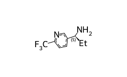 CC[C@H](N)c1ccc(C(F)(F)F)nc1